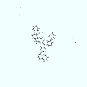 C[Si]1(C)c2cc(N(c3ccc(-c4cccc5ccccc45)cc3)c3cccc(-c4ccccc4)c3)ccc2-c2c1ccc1c2oc2ccccc21